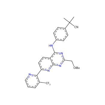 CC(C)COCc1nc(Nc2ccc(C(C)(C)C#N)cc2)c2ccc(-c3ncccc3C(F)(F)F)nc2n1